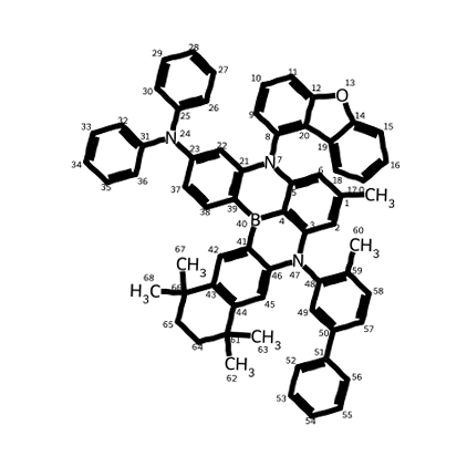 Cc1cc2c3c(c1)N(c1cccc4oc5ccccc5c14)c1cc(N(c4ccccc4)c4ccccc4)ccc1B3c1cc3c(cc1N2c1cc(-c2ccccc2)ccc1C)C(C)(C)CCC3(C)C